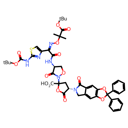 CC(C)(C)OC(=O)Nc1nc(/C(=N/OC(C)(C)C(=O)OC(C)(C)C)C(=O)N[C@H]2CON(C3(C(=O)O)C[C@H](N4Cc5cc6c(cc5C4=O)OC(c4ccccc4)(c4ccccc4)O6)C(=O)O3)C2=O)cs1